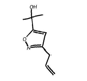 C=C[CH]c1cc(C(C)(C)O)on1